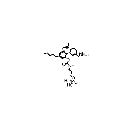 C=C(C)[C@@H]1CCC(C)=C[C@H]1c1c(O)cc(CCCCC)cc1OC(=O)NCCCOP(=O)(O)O.N.N